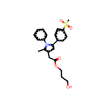 Cc1c(CC(=O)OCCCO)cc(-c2ccc(S(C)(=O)=O)cc2)n1-c1ccccc1